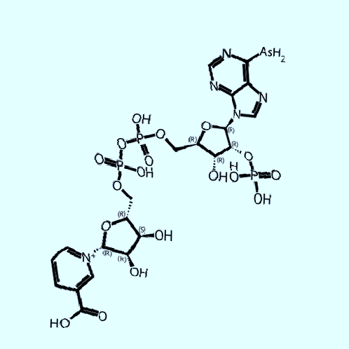 O=C(O)c1ccc[n+]([C@@H]2O[C@H](COP(=O)(O)OP(=O)(O)OC[C@H]3O[C@@H](n4cnc5c([AsH2])ncnc54)[C@H](OP(=O)(O)O)[C@@H]3O)[C@@H](O)[C@H]2O)c1